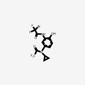 O=C(N(c1ccc(O)c(NC(=O)C(F)(F)Br)c1)C1CC1)C(F)(F)F